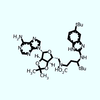 CC1(C)O[C@@H]2[C@H](O1)[C@@H](CN(CCC(Nc1nc3cc(C(C)(C)C)ccc3[nH]1)C(C)(C)C)C(=O)O)O[C@H]2n1cnc2c(N)ncnc21